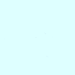 CCC(C)C(c1cccc(Cl)c1F)C(C)(Cc1ccc(Cl)cc1N)N(C)C1CCCC1